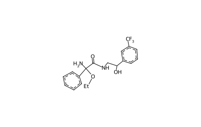 CCOC(N)(C(=O)NCC(O)c1cccc(C(F)(F)F)c1)c1ccccc1